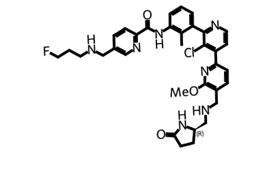 COc1nc(-c2ccnc(-c3cccc(NC(=O)c4ccc(CNCCCF)cn4)c3C)c2Cl)ccc1CNC[C@H]1CCC(=O)N1